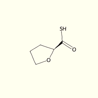 O=C(S)[C@@H]1CCCO1